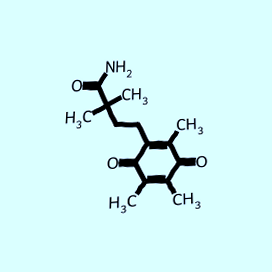 CC1=C(C)C(=O)C(CCC(C)(C)C(N)=O)=C(C)C1=O